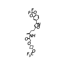 C=C(CCc1cc(-c2ccc3c(c2)OC(F)(F)O3)no1)NC(=O)CO[C@H]1C[C@@H](OC(F)(F)F)C1